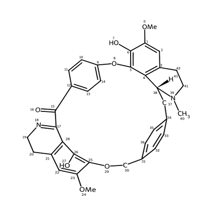 COc1cc2c3c(c1O)Oc1ccc(cc1)C(=O)C1=NCCc4cc(OC)c(c(O)c41)OCc1ccc(cc1)C[C@H]3N(C)CC2